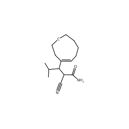 CC(C)C(/C1=C/CCCCCCC1)C(C#N)C(N)=O